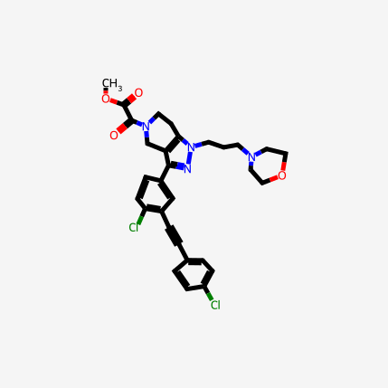 COC(=O)C(=O)N1CCc2c(c(-c3ccc(Cl)c(C#Cc4ccc(Cl)cc4)c3)nn2CCCN2CCOCC2)C1